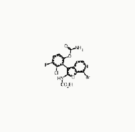 CCOC(=O)Nc1oc2c(Br)nccc2c1-c1c(OC(N)=O)ccc(F)c1Cl